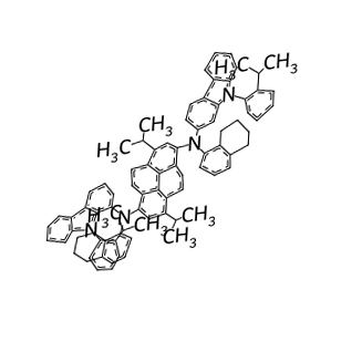 CC(C)c1ccccc1-n1c2ccccc2c2ccc(N(c3cccc4c3CCCC4)c3cc(C(C)C)c4ccc5c(N(c6cccc7c6CCCC7)c6cccc7c8ccccc8n(-c8ccccc8C(C)C)c67)cc(C(C)C)c6ccc3c4c65)cc21